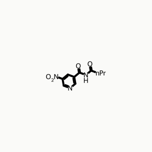 CCCC(=O)NC(=O)c1cncc([N+](=O)[O-])c1